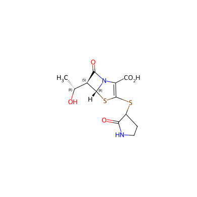 C[C@@H](O)[C@H]1C(=O)N2C(C(=O)O)=C(SC3CCNC3=O)S[C@H]12